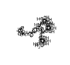 O.O=C(CC1(CCC(=O)N(CCO[C@H]2O[C@H](CO)[C@@H](O)[C@H](O)[C@@H]2O)CCO[C@@H]2O[C@@H](CO)[C@H](O)[C@@H](O)[C@H]2O)CCN(C(=O)CCCCC(=O)ON2C(=O)CCC2=O)CC1)NCC[C@@H]1O[C@H](CO)[C@@H](O)[C@H](O)[C@H]1O